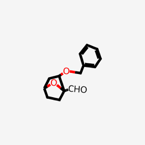 O=CC12CCC(CC1OCc1ccccc1)O2